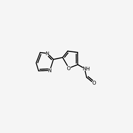 O=CNc1ccc(-c2ncccn2)o1